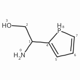 NC(CO)c1ccc[pH]1